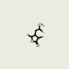 CC(I)CC1C(I)OC(=O)C1I